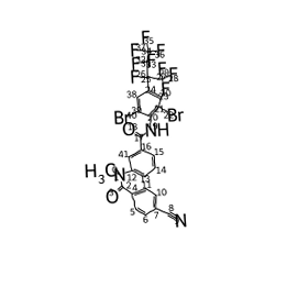 CN(C(=O)c1ccc(C#N)cc1)c1cccc(C(=O)Nc2c(Br)cc(C(F)(C(F)(F)F)C(F)(F)C(F)(F)F)cc2Br)c1